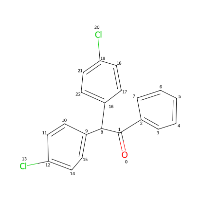 O=C(c1ccccc1)C(c1ccc(Cl)cc1)c1ccc(Cl)cc1